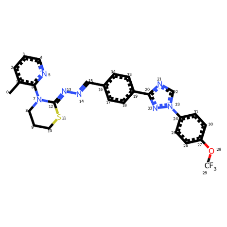 Cc1cccnc1N1CCCS/C1=N\N=C\c1ccc(-c2ncn(-c3ccc(OC(F)(F)F)cc3)n2)cc1